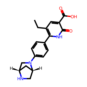 CCc1cc(C(=O)O)c(=O)[nH]c1-c1ccc(N2C[C@@H]3C[C@H]2CN3)cc1